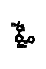 CCC1(C)CC(c2ccc(OC)c(OC3CCCC3)c2)=NO1